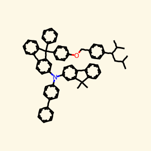 CC(C)CC(c1ccc(COc2ccc(C3(c4ccccc4)c4ccccc4-c4ccc(N(c5ccc(-c6ccccc6)cc5)c5ccc6c(c5)C(C)(C)c5ccccc5-6)cc43)cc2)cc1)C(C)C